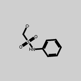 [O]CS(=O)(=O)Nc1ccccc1